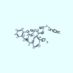 CCCCCCCCCCCc1noc(-c2cc(CN(Cc3ccccc3)C(=O)OC(C)(C)C)ccc2C(F)(F)F)n1